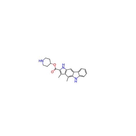 Cc1c(C(=O)OC2CCNCC2)[nH]c2cc3c([nH]c4ccccc43)c(C)c12